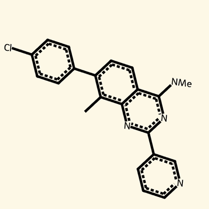 CNc1nc(-c2cccnc2)nc2c(C)c(-c3ccc(Cl)cc3)ccc12